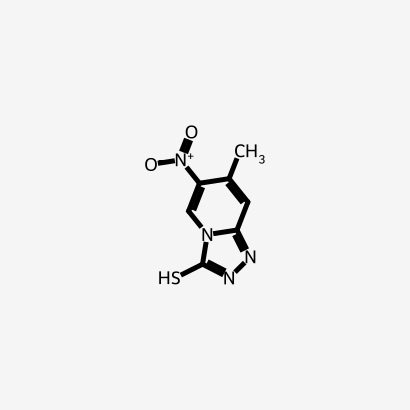 Cc1cc2nnc(S)n2cc1[N+](=O)[O-]